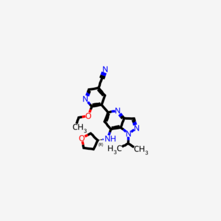 CCOc1ncc(C#N)cc1-c1cc(N[C@@H]2CCOC2)c2c(cnn2C(C)C)n1